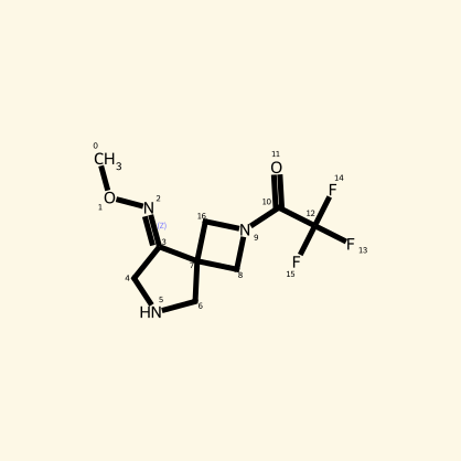 CO/N=C1\CNCC12CN(C(=O)C(F)(F)F)C2